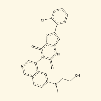 CN(CCO)c1ccc2cncc(-n3c(=O)[nH]c4cc(-c5ccccc5Cl)sc4c3=O)c2c1